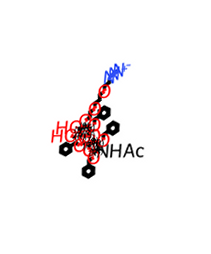 CC(=O)N[C@H]1[C@H](OCc2ccccc2)O[C@H](COCc2ccccc2)[C@@H](O[C@@H]2O[C@H](CO)[C@@H](O)[C@H](OCCOCCCOCCN=[N+]=[N-])[C@@H]2OCc2ccccc2)[C@@H]1OCc1ccccc1